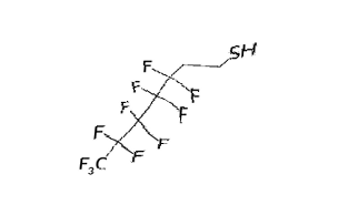 FC(F)(F)C(F)(F)C(F)(F)C(F)(F)C(F)(F)CCS